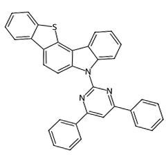 c1ccc(-c2cc(-c3ccccc3)nc(-n3c4ccccc4c4c5sc6ccccc6c5ccc43)n2)cc1